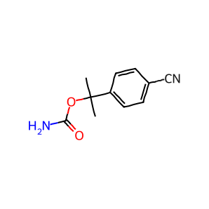 CC(C)(OC(N)=O)c1ccc(C#N)cc1